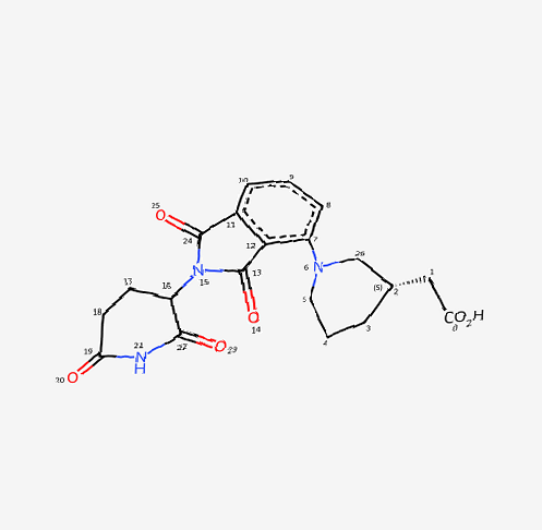 O=C(O)C[C@@H]1CCCN(c2cccc3c2C(=O)N(C2CCC(=O)NC2=O)C3=O)C1